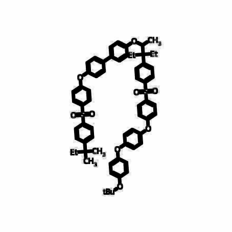 CCC(C)(C)c1ccc(S(=O)(=O)c2ccc(Oc3ccc(-c4ccc(OC(C)C(CC)(CC)c5ccc(S(=O)(=O)c6ccc(Oc7ccc(Oc8ccc(OC(C)(C)C)cc8)cc7)cc6)cc5)cc4)cc3)cc2)cc1